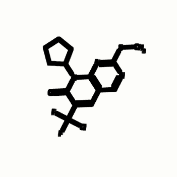 CSc1ncc2cc(C(F)(F)Cl)c(=O)n(C3CCCC3)c2n1